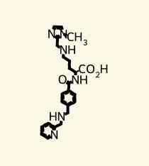 Cn1ccnc1CNCCC[C@H](NC(=O)c1ccc(CNCc2ccccn2)cc1)C(=O)O